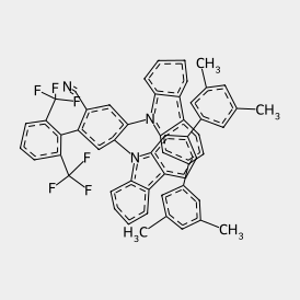 Cc1cc(C)cc(-c2ccc3c4ccccc4n(-c4cc(C#N)c(-c5c(C(F)(F)F)cccc5C(F)(F)F)cc4-n4c5ccccc5c5ccc(-c6cc(C)cc(C)c6)cc54)c3c2)c1